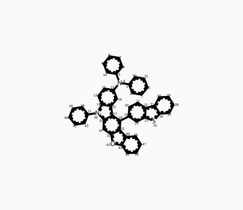 c1ccc(N(c2ccccc2)c2ccc3c(c2)c2c(-c4ccc5c(c4)sc4ccccc45)c4c(cc2n3-c2ccccc2)oc2ccccc24)cc1